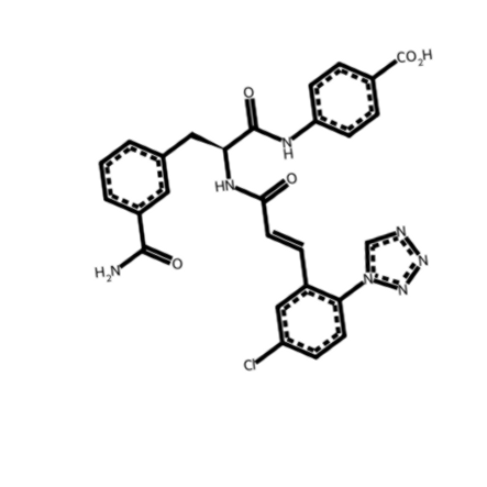 NC(=O)c1cccc(C[C@H](NC(=O)C=Cc2cc(Cl)ccc2-n2cnnn2)C(=O)Nc2ccc(C(=O)O)cc2)c1